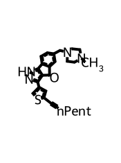 CCCCCC#Cc1cc(-c2n[nH]c3c2C(=O)c2cc(CN4CCN(C)CC4)ccc2-3)cs1